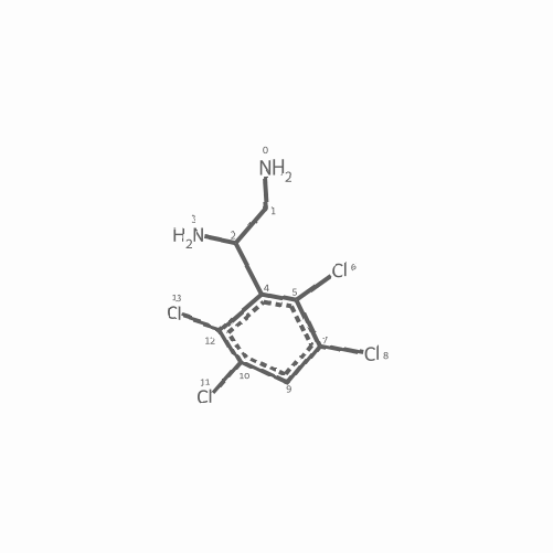 NCC(N)c1c(Cl)c(Cl)cc(Cl)c1Cl